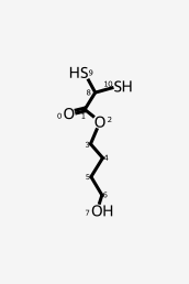 O=C(OCCCCO)C(S)S